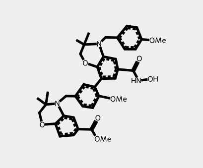 COC(=O)c1ccc2c(c1)N(Cc1ccc(OC)c(-c3cc(C(=O)NO)cc4c3OCC(C)(C)N4Cc3ccc(OC)cc3)c1)C(C)(C)CO2